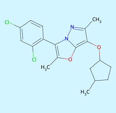 Cc1nn2c(-c3ccc(Cl)cc3Cl)c(C)oc2c1OC1CCC(C)C1